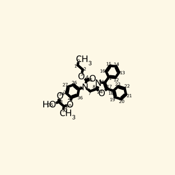 CCCOC(=O)N(Cc1nc(-c2ccccc2)c(-c2ccccc2)o1)c1cccc(OC(C)C(=O)O)c1